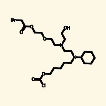 CC(C)CC(=O)OCCOCCN(CCO)CCN(CCCCCOC(=O)Cl)C1CCCCC1